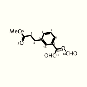 COC(=O)CCc1cccc(C(C=O)OC=O)c1